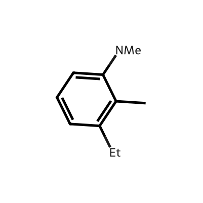 CCc1cccc(NC)c1C